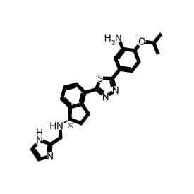 CC(C)OC1CC=C(c2nnc(-c3cccc4c3CC[C@@H]4NCc3ncc[nH]3)s2)C=C1N